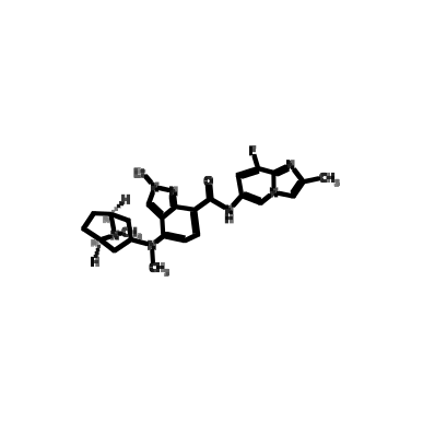 CCn1cc2c(N(C)C3C[C@H]4CC[C@@H](C3)N4C)ccc(C(=O)Nc3cc(F)c4nc(C)cn4c3)c2n1